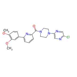 COc1ccc(-c2cccc(C(=O)N3CCN(c4cnc(Cl)cn4)CC3)n2)cc1OC